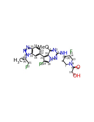 COc1nc(N[C@H]2CCN(C(=O)CO)C[C@H]2F)nn2cc(F)c(-c3ccc4nnn([C@H](C)CF)c4c3)c12